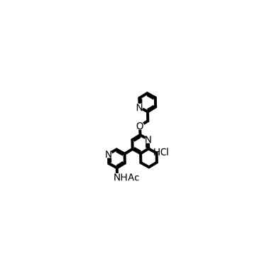 CC(=O)Nc1cncc(-c2cc(OCc3ccccn3)nc3c2CCCC3)c1.Cl